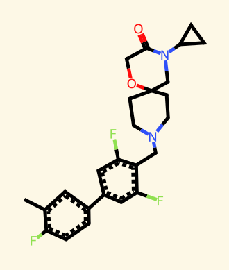 Cc1cc(-c2cc(F)c(CN3CCC4(CC3)CN(C3CC3)C(=O)CO4)c(F)c2)ccc1F